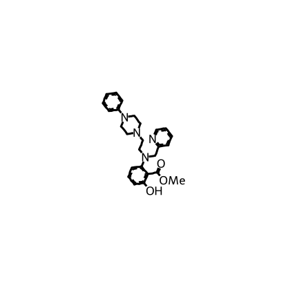 COC(=O)c1c(O)cccc1N(CCN1CCN(c2ccccc2)CC1)Cc1ccccn1